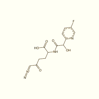 [N-]=[N+]=CC(=O)CCC(NC(=O)C(O)c1ccc(F)cn1)C(=O)O